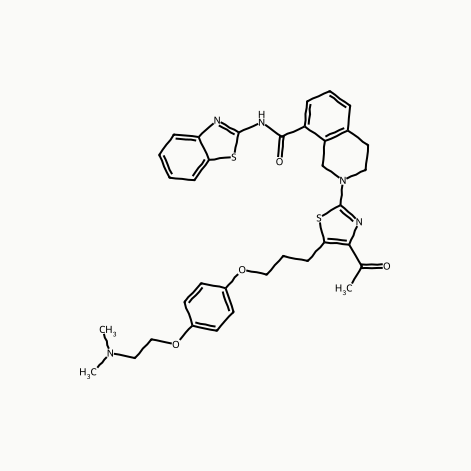 CC(=O)c1nc(N2CCc3cccc(C(=O)Nc4nc5ccccc5s4)c3C2)sc1CCCOc1ccc(OCCN(C)C)cc1